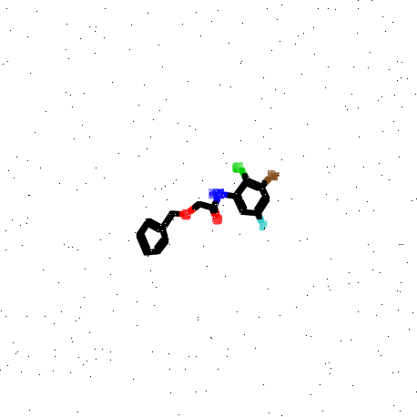 O=C(COCc1ccccc1)Nc1cc(F)cc(Br)c1Cl